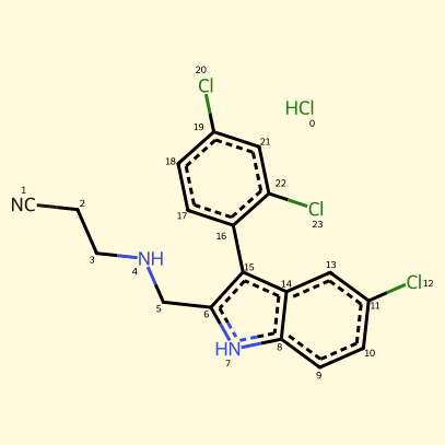 Cl.N#CCCNCc1[nH]c2ccc(Cl)cc2c1-c1ccc(Cl)cc1Cl